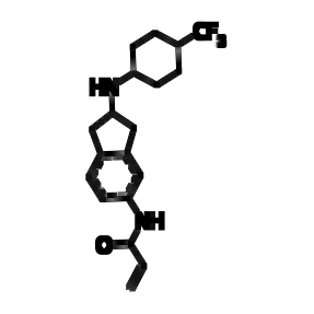 C=CC(=O)Nc1ccc2c(c1)CC(NC1CCC(C(F)(F)F)CC1)C2